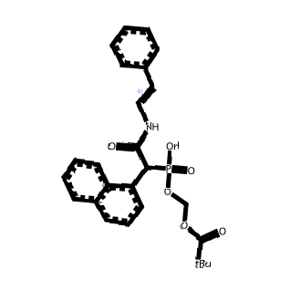 CC(C)(C)C(=O)OCOP(=O)(O)C(C(=O)N/C=C/c1ccccc1)c1cccc2ccccc12